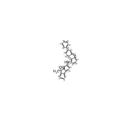 CC1(C)c2ccccc2-c2ccc(Nc3cccc4oc5cc(-c6ccccc6)ccc5c34)cc21